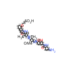 COc1cc(N=Nc2ccc(C(=O)Nc3cc4c(OCCCS(=O)(=O)O)cccc4cc3S(=O)(=O)O)c(C)c2)c(C)cc1N=Nc1ccc2cc(NC(=O)c3ccc(N)cc3)ccc2c1O